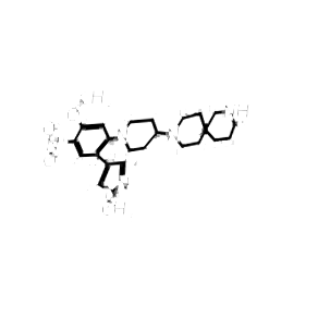 COc1cc(N2CCC(N3CCC4(CCCNC4)CC3)CC2)c(-c2cnn(C)c2)cc1[N+](=O)[O-]